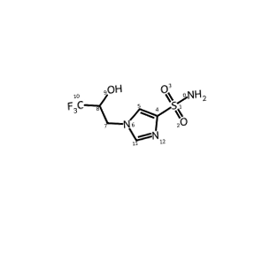 NS(=O)(=O)c1cn(CC(O)C(F)(F)F)cn1